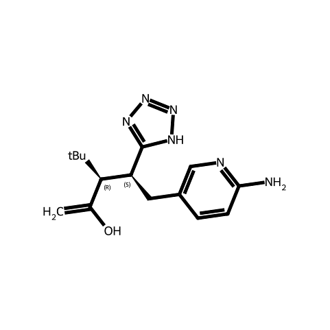 C=C(O)[C@H]([C@H](Cc1ccc(N)nc1)c1nnn[nH]1)C(C)(C)C